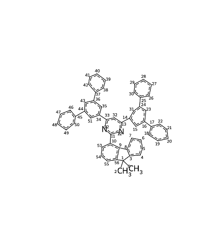 CC1(C)c2ccccc2-c2c(-c3nc(-c4cc(-c5ccccc5)cc(-c5ccccc5)c4)cc(-c4cc(-c5ccccc5)cc(-c5ccccc5)c4)n3)cccc21